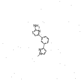 Cn1ccc(-c2cccc(-c3csc(N)n3)c2)n1